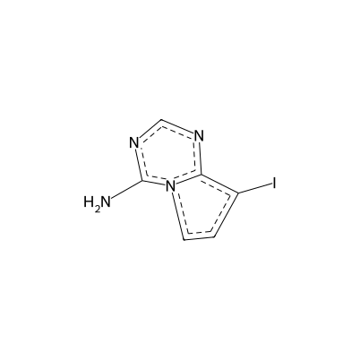 Nc1ncnc2c(I)ccn12